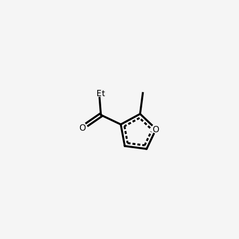 CCC(=O)c1ccoc1C